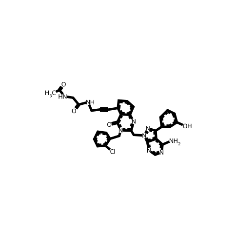 CC(=O)NCC(=O)NCC#Cc1cccc2nc(Cn3nc(-c4cccc(O)c4)c4c(N)ncnc43)n(Cc3ccccc3Cl)c(=O)c12